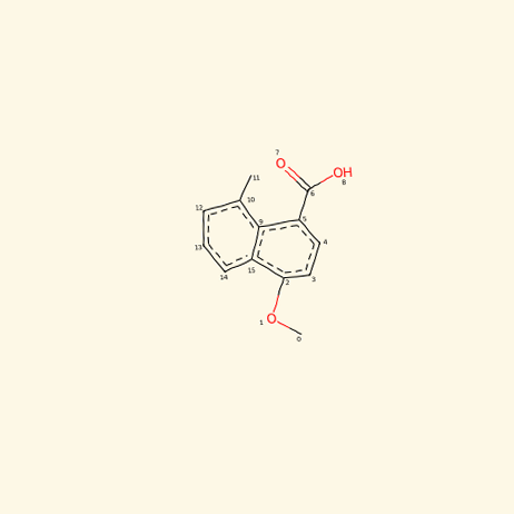 COc1ccc(C(=O)O)c2c(C)cccc12